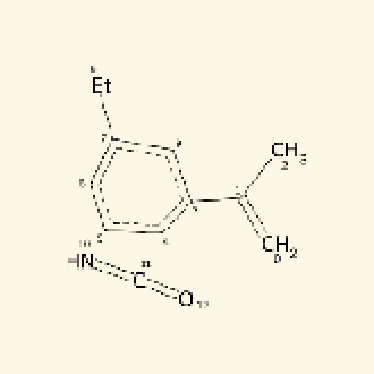 C=C(C)c1cccc(CC)c1.N=C=O